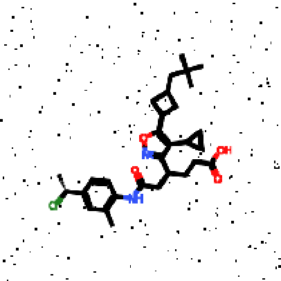 Cc1cc([C@@H](C)Cl)ccc1NC(=O)CC(CCC(=O)O)c1noc(C2CC(CC(C)(C)C)C2)c1C1CC1